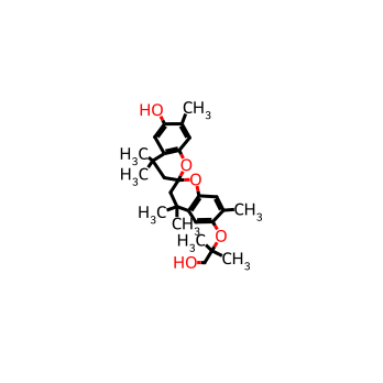 Cc1cc2c(cc1O)C(C)(C)CC1(CC(C)(C)c3cc(OC(C)(C)CO)c(C)cc3O1)O2